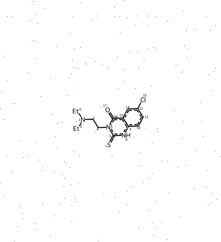 CCN(CC)CCn1c(=S)[nH]c2ccc(Cl)cc2c1=O